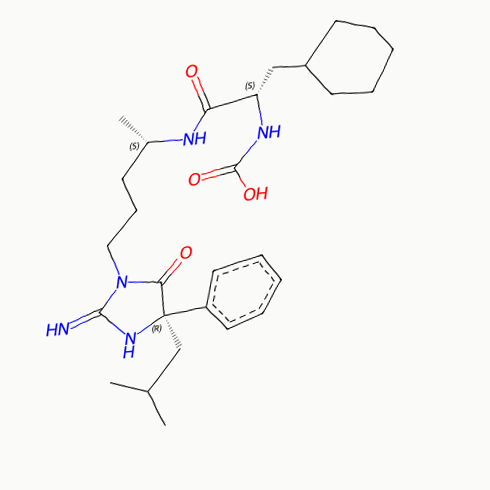 CC(C)C[C@]1(c2ccccc2)NC(=N)N(CCC[C@H](C)NC(=O)[C@H](CC2CCCCC2)NC(=O)O)C1=O